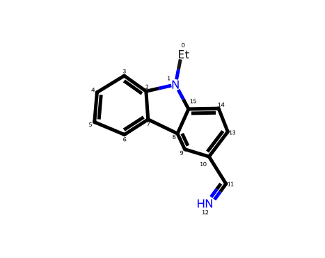 CCn1c2ccccc2c2cc(C=N)ccc21